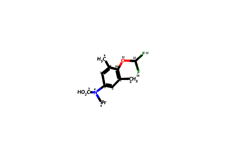 Cc1cc(N(C(=O)O)C(C)C)cc(C)c1OC(F)F